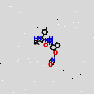 Cc1ccc(-c2[nH]c([Si](C)(C)C)cc2NC(=O)Nc2ccc(OCCN3CCOCC3)c3ccccc23)cc1